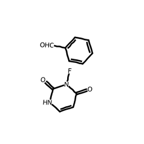 O=Cc1ccccc1.O=c1cc[nH]c(=O)n1F